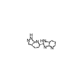 c1cnc2nc(-c3ccc4cn[nH]c4n3)[nH]c2c1